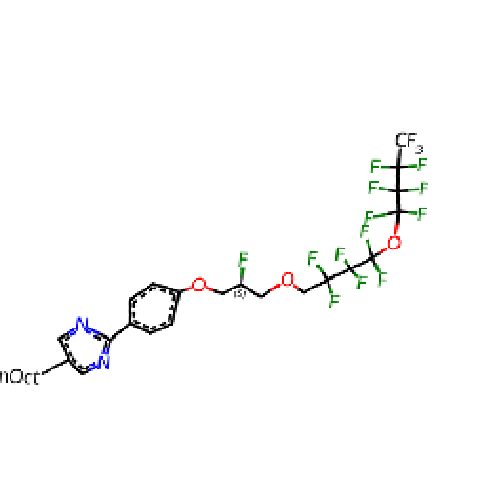 CCCCCCCCc1cnc(-c2ccc(OC[C@@H](F)COCC(F)(F)C(F)(F)C(F)(F)OC(F)(F)C(F)(F)C(F)(F)C(F)(F)F)cc2)nc1